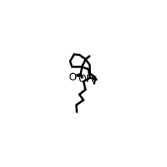 CCCCCCC(C)CC1(C(=O)O)CCCCC1(C)CCCC